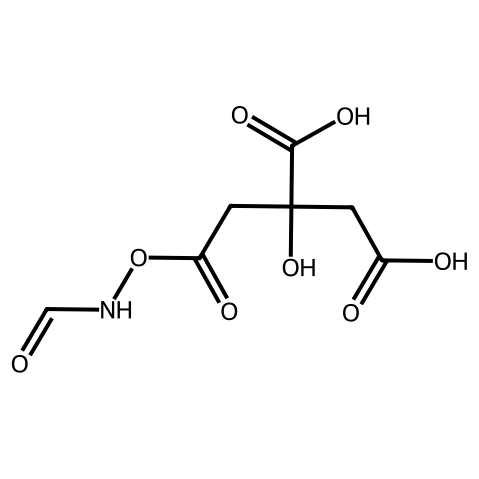 O=CNOC(=O)CC(O)(CC(=O)O)C(=O)O